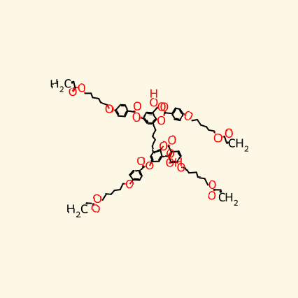 C=CC(=O)OCCCCCCOc1ccc(C(=O)Oc2cc(CCCCc3cc(OC(=O)c4ccc(OCCCCCCOC(=O)C=C)cc4)cc(C(=O)O)c3OC(=O)c3ccc(OCCCCCCOC(=O)C=C)cc3)c(OC(=O)c3ccc(OCCCCCCOC(=O)C=C)cc3)c(C(=O)O)c2)cc1